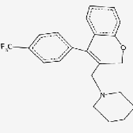 FC(F)(F)c1ccc(C2=C(CN3CCCCC3)COc3ccccc32)cc1